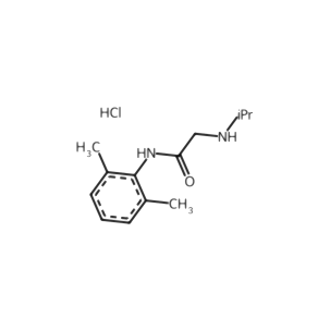 Cc1cccc(C)c1NC(=O)CNC(C)C.Cl